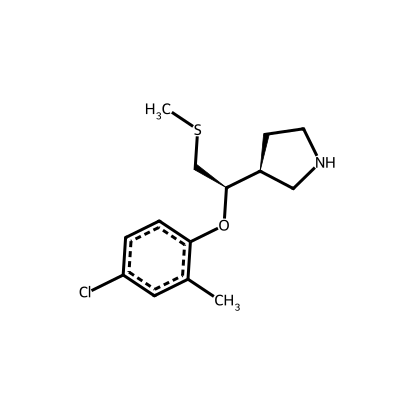 CSC[C@H](Oc1ccc(Cl)cc1C)[C@H]1CCNC1